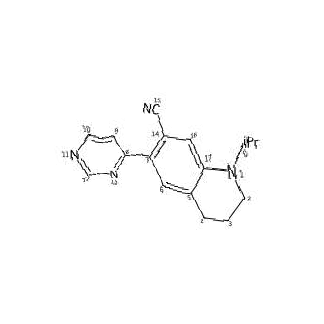 CC(C)N1CCCc2cc(-c3ccncn3)c(C#N)cc21